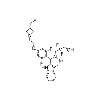 C[C@@H]1Cc2c([nH]c3ccccc23)C(c2c(F)cc(OCCN3CC(CF)C3)cc2F)N1CC(F)(F)CO